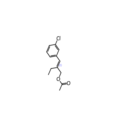 CC/C(=C\c1cccc(Cl)c1)COC(C)=O